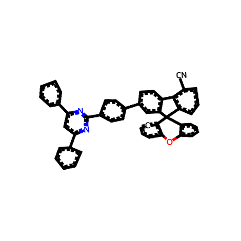 N#Cc1cccc2c1-c1ccc(-c3ccc(-c4nc(-c5ccccc5)cc(-c5ccccc5)n4)cc3)cc1C21c2ccccc2Oc2ccccc21